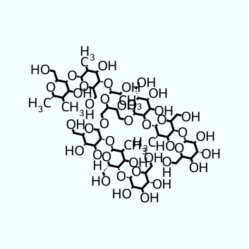 CC1C(O)[C@H](O[C@H](OC(CO[C@H]2OC(CO)[C@@H](O)C(O)[C@H]2O[C@@H]2O[C@@H](CO)[C@@H](O[C@@H]3OC(CO)[C@H](O)C(O)[C@@H]3O)C(O)C2C)[C@@H](O)CO[C@H]2O[C@H](CO)[C@@H](O)C(O)C2O[C@@H]2OC(CO)[C@@H](O[C@@H]3OC(CO)C(O)[C@@H](O)[C@@H]3O)C(O)[C@@H]2C)[C@@H](C)O)C(CO)O[C@H]1O[C@@H]1C(CO)O[C@@H](C)C(C)C1O